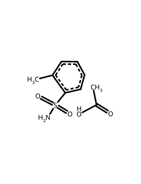 CC(=O)O.Cc1ccccc1S(N)(=O)=O